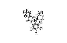 N#Cc1ccc2cc3c(=O)[nH]c(=O)nc-3n(-c3ccc4c(c3)OC(F)(F)O4)c2c1